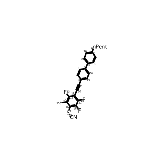 CCCCCc1ccc(-c2ccc(C#Cc3c(F)c(F)c(SC#N)c(F)c3F)cc2)cc1